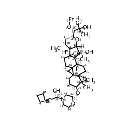 CCO[C@@H]([C@H]1C[C@@H](C)[C@H]2[C@H](O1)[C@H](O)[C@@]1(C)[C@@H]3CC[C@H]4C(C)(C)[C@@H](O[C@H]5CN([C@@H](C)CN6CCC6)CCO5)CCC45C[C@@]35CC[C@]21C)C(C)(C)O